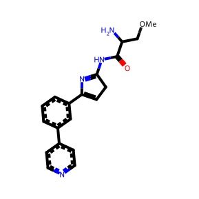 COCC(N)C(=O)NC1=NC(c2cccc(-c3ccncc3)c2)=CC1